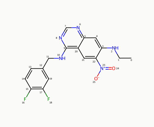 CCNc1cc2ncnc(NCc3ccc(F)c(F)c3)c2cc1[N+](=O)[O-]